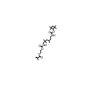 C=C(C)C(=O)OCCOC(=O)NCC(C)(C)CC(C)CCNC(=O)OC1C(C)(C)CC1(C)C